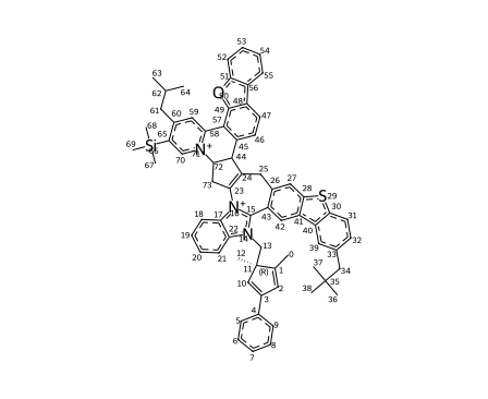 CC1=CC(c2ccccc2)=C[C@@]1(C)Cn1c2[n+](c3ccccc31)C1=C(Cc3cc4sc5ccc(CC(C)(C)C)cc5c4cc3-2)C2c3ccc4c(oc5ccccc54)c3-c3cc(CC(C)C)c([Si](C)(C)C)c[n+]3C2C1